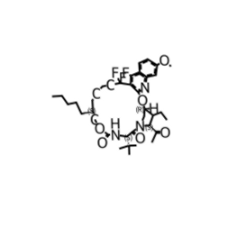 CCCCC[C@H]1CCCCC(F)(F)c2c(nc3cc(OC)ccc3c2F)O[C@H]2CN(C(=O)[C@H](C(C)(C)C)NC(=O)OC1)[C@H](C(C)=O)C2CC